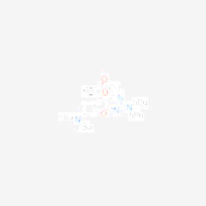 CCCCN(CCCC)c1ccc2c(c1)Oc1nc(N(CCCC)CCCC)nc(C)c1C21OC(=O)c2ccccc21